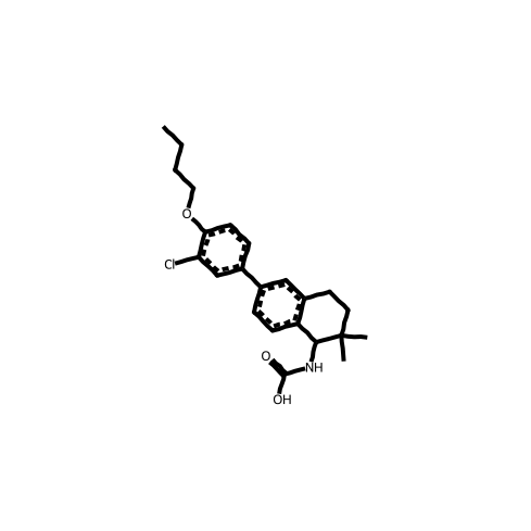 CCCCOc1ccc(-c2ccc3c(c2)CCC(C)(C)C3NC(=O)O)cc1Cl